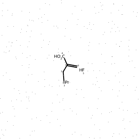 C=C(CCCC)C(=O)O.F